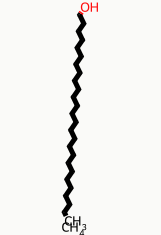 C.CCCCCCCCCCCCCCCCCCCCCCCCCCO